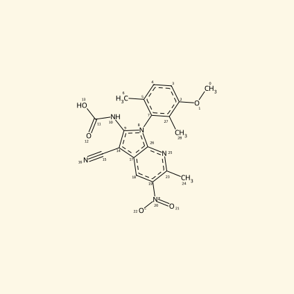 COc1ccc(C)c(-n2c(NC(=O)O)c(C#N)c3cc([N+](=O)[O-])c(C)nc32)c1C